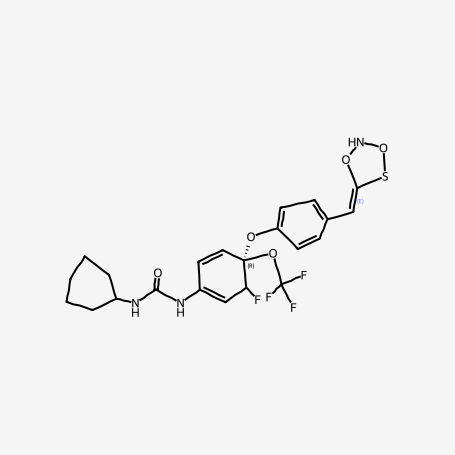 O=C(NC1=CC(F)[C@](Oc2ccc(/C=C3\ONOS3)cc2)(OC(F)(F)F)C=C1)NC1CCCCC1